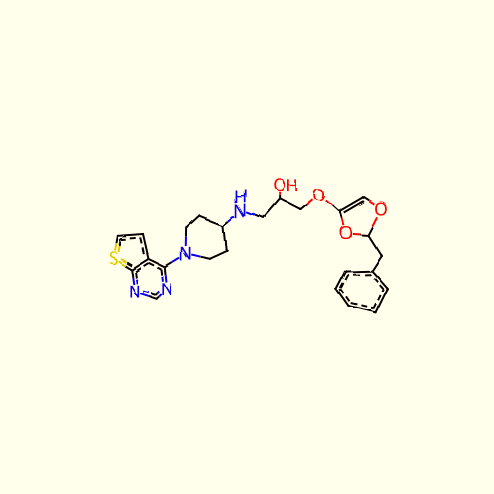 OC(CNC1CCN(c2ncnc3sccc23)CC1)COC1=COC(Cc2ccccc2)O1